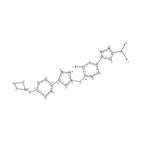 Fc1cc(-c2nnc(C(F)F)o2)cnc1Cn1cc(-c2ccc(CN3CCC3)cn2)nn1